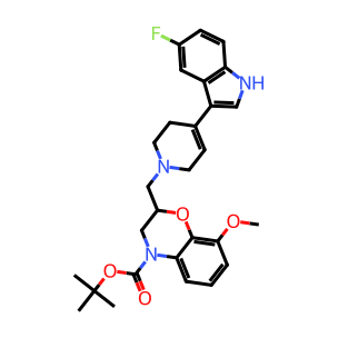 COc1cccc2c1OC(CN1CC=C(c3c[nH]c4ccc(F)cc34)CC1)CN2C(=O)OC(C)(C)C